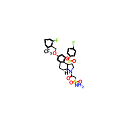 NS(=O)(=O)CC(=O)N1CC[C@@]2(S(=O)(=O)c3ccc(F)cc3)c3ccc(OCc4c(F)cccc4C(F)(F)F)cc3CC[C@@H]12